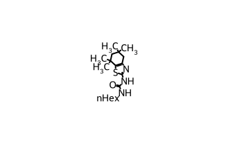 CCCCCCNC(=O)Nc1nc2c(s1)C(C)(C)CC(C)(C)C2